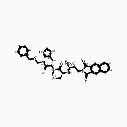 CC(C)C[C@H](N[C@H](CCN1C(=O)c2cc3ccccc3cc2C1=O)C(=O)O)C(=O)N(C)[C@@H](Cc1c[nH]cn1)C(=O)NCOCc1ccccc1